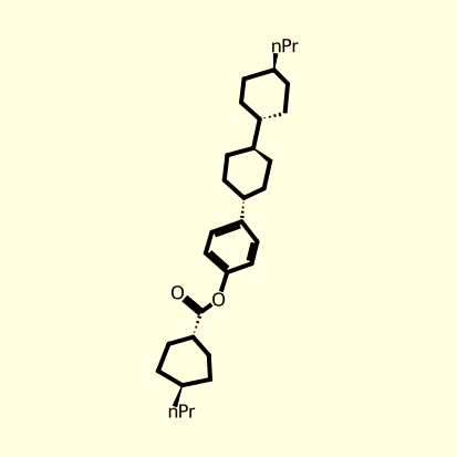 CCC[C@H]1CC[C@H](C(=O)Oc2ccc([C@H]3CC[C@H]([C@H]4CC[C@H](CCC)CC4)CC3)cc2)CC1